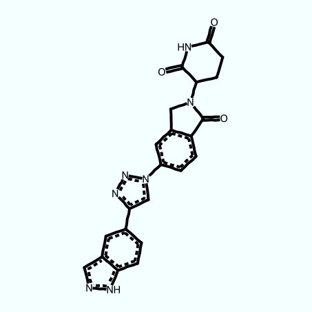 O=C1CCC(N2Cc3cc(-n4cc(-c5ccc6[nH]ncc6c5)nn4)ccc3C2=O)C(=O)N1